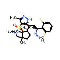 C=C(/C=C(\N=N/C)c1c(F)cccc1F)C1CCC(C)(CN(CC)S(=O)(=O)c2c(C)n[nH]c2C)C1(C)C